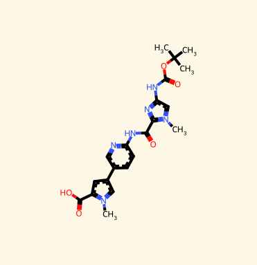 Cn1cc(-c2ccc(NC(=O)c3nc(NC(=O)OC(C)(C)C)cn3C)nc2)cc1C(=O)O